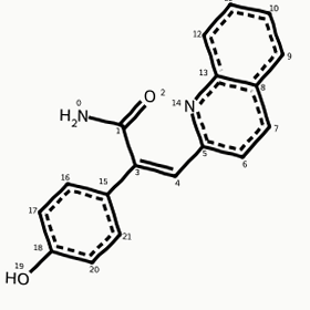 NC(=O)C(=Cc1ccc2ccccc2n1)c1ccc(O)cc1